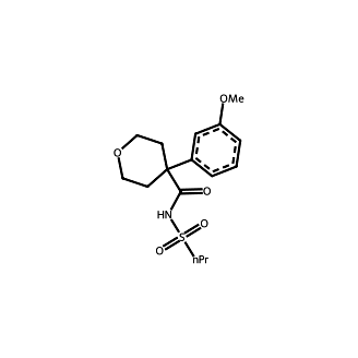 CCCS(=O)(=O)NC(=O)C1(c2cccc(OC)c2)CCOCC1